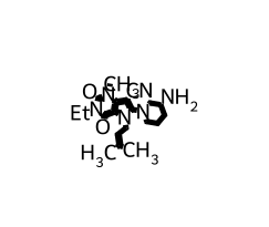 CCn1c(=O)c2c(c(C#N)c(N3CCCC(N)C3)n2CC=C(C)C)n(C)c1=O